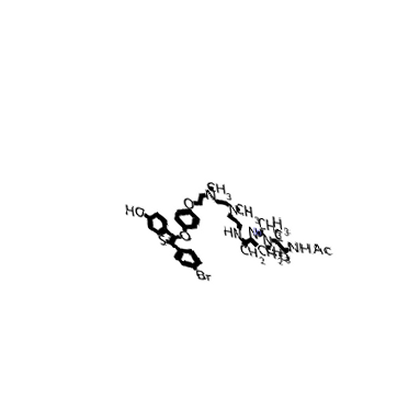 C=C(/N=C(/C)N(C)C(C)C(=O)NC(C)=O)C(=C)NCCN(C)CCN(C)CCOc1ccc(Oc2c(-c3ccc(Br)cc3)sc3cc(O)ccc23)cc1